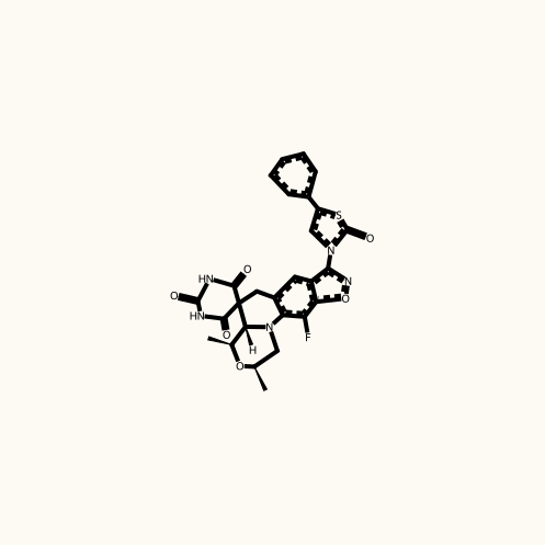 C[C@@H]1CN2c3c(cc4c(-n5cc(-c6ccccc6)sc5=O)noc4c3F)CC3(C(=O)NC(=O)NC3=O)[C@H]2[C@H](C)O1